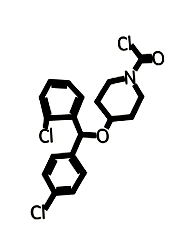 O=C(Cl)N1CCC(OC(c2ccc(Cl)cc2)c2ccccc2Cl)CC1